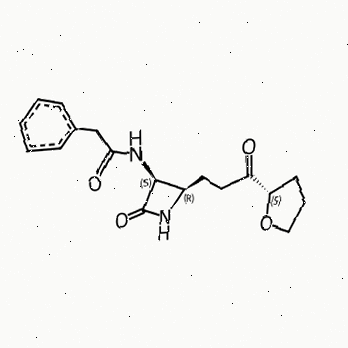 O=C(Cc1ccccc1)N[C@@H]1C(=O)N[C@@H]1CCC(=O)[C@@H]1CCCO1